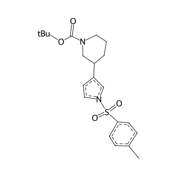 Cc1ccc(S(=O)(=O)n2ccc(C3CCCN(C(=O)OC(C)(C)C)C3)c2)cc1